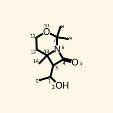 CC(O)C1C(=O)N2C(C)(C)OCCC12C